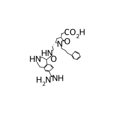 N=C(N)c1ccc2c(c1)CCNCC2C(=O)NCC[C@@H]1C[C@@H](CC(=O)O)C(=O)N1CCCc1ccccc1